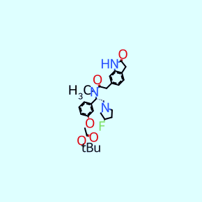 CN(C(=O)Cc1ccc2c(c1)NC(=O)C2)[C@H](CN1CCC(F)C1)c1cccc(OCC(=O)OC(C)(C)C)c1